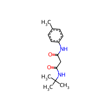 Cc1ccc(NC(=O)CC(=O)NC(C)(C)C)cc1